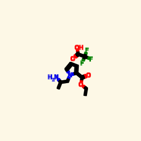 CCOC(=O)c1cccn1CC(C)N.O=C(O)C(F)(F)F